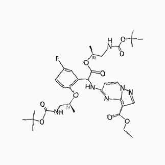 CCOC(=O)c1cnn2ccc(NC(C(=O)O[C@@H](C)CNC(=O)OC(C)(C)C)c3cc(F)ccc3O[C@@H](C)CNC(=O)OC(C)(C)C)nc12